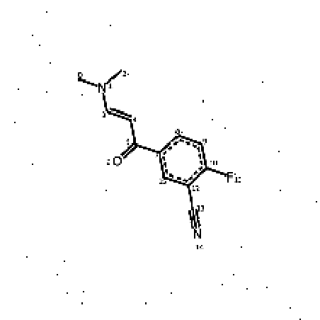 CN(C)C=CC(=O)c1ccc(F)c(C#N)c1